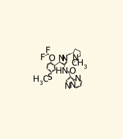 CSc1ccc(OC(F)F)c(-c2nn(C[C@H]3CCCN3C)cc2NC(=O)c2cnn3cccnc23)c1